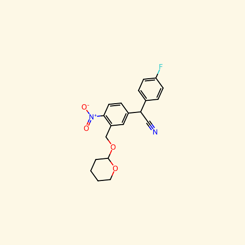 N#CC(c1ccc(F)cc1)c1ccc([N+](=O)[O-])c(COC2CCCCO2)c1